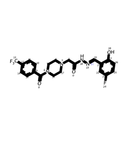 O=C(CN1CCN(C(=O)c2ccc(C(F)(F)F)cc2)CC1)N/N=C/c1cc(F)ccc1O